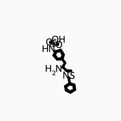 N[C@@H](Cc1ccc(NS(=O)(=O)O)cc1)c1csc(-c2ccccc2)n1